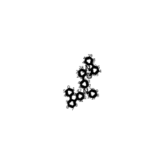 c1ccc(-c2ccccc2-c2ccc(N(c3ccccc3)c3ccc(-c4cccc5c4Oc4cccc6c7ccccc7n-5c46)cc3)cc2)cc1